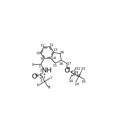 CC(N[S@+]([O-])C(C)(C)C)c1cccc2c1CC(CO[Si](C)(C)C(C)(C)C)C2